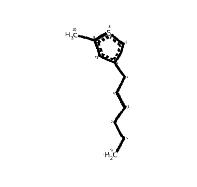 [CH2]CCCCCc1csc(C)c1